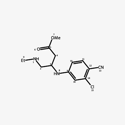 CCNCC(CC(=O)OC)Nc1ccc(C#N)c(Cl)c1